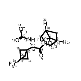 CC1(C)[C@@H]2C[C@H]1CN(C(=O)[C@@H](NC(=O)C(F)(F)F)C13CC(C(F)(F)F)(C1)C3)C2